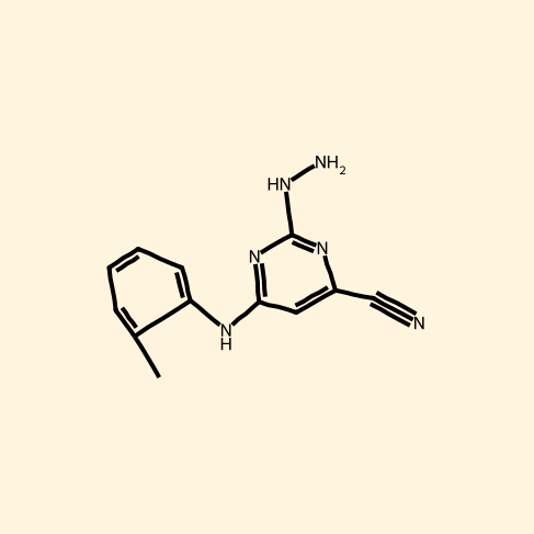 Cc1ccccc1Nc1cc(C#N)nc(NN)n1